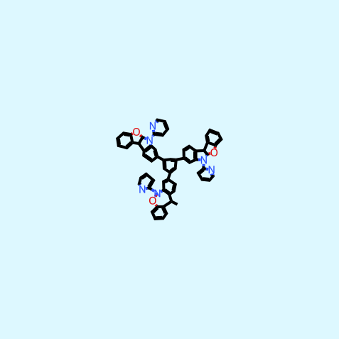 CC1c2ccccc2ON(c2ccccn2)c2cc(-c3cc(-c4ccc5c(c4)N(c4ccccn4)C4Oc6ccccc6C54)cc(-c4ccc5c(c4)N(c4ccccn4)C4Oc6ccccc6C54)c3)ccc21